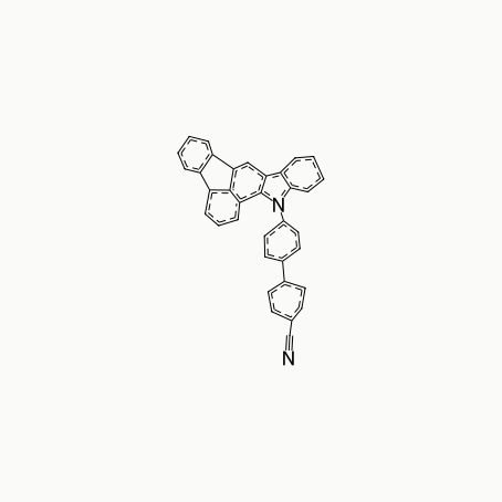 N#Cc1ccc(-c2ccc(-n3c4ccccc4c4cc5c6c(cccc6c43)-c3ccccc3-5)cc2)cc1